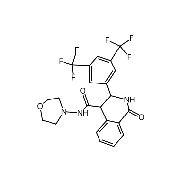 O=C1NC(c2cc(C(F)(F)F)cc(C(F)(F)F)c2)C(C(=O)NN2CCOCC2)c2ccccc21